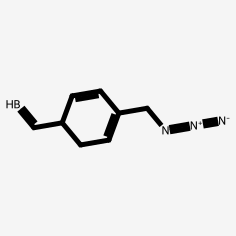 B=CC1C=CC(CN=[N+]=[N-])=CC1